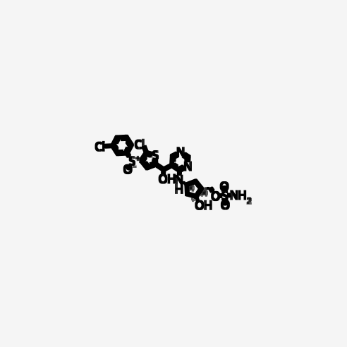 NS(=O)(=O)OC[C@H]1C[C@@H](Nc2ncncc2C(O)c2cc([S+]([O-])c3cccc(Cl)c3)c(Cl)s2)C[C@@H]1O